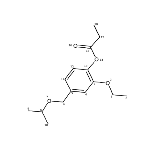 CCOc1cc(COC(C)C)ccc1OC(=O)CC